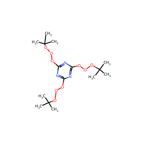 CC(C)(C)OOOc1nc(OOOC(C)(C)C)nc(OOOC(C)(C)C)n1